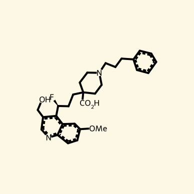 COc1ccc2ncc(CO)c([C@@H](F)CCC3(C(=O)O)CCN(CCCc4ccccc4)CC3)c2c1